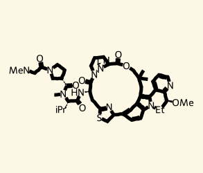 CCn1c(-c2cccnc2[C@H](C)OC)c2c3cc(ccc31)C1CSC(=N1)C[C@H](NC(=O)[C@H](C(C)C)N(C)C(=O)[C@H]1CCN(C(=O)CNC)C1)C(=O)N1CCC[C@@H](C(=O)OCC(C)(C)C2)N1I